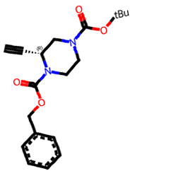 C#C[C@@H]1CN(C(=O)OC(C)(C)C)CCN1C(=O)OCc1ccccc1